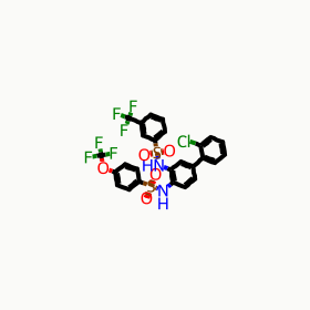 O=S(=O)(Nc1ccc(-c2ccccc2Cl)cc1NS(=O)(=O)c1cccc(C(F)(F)F)c1)c1ccc(OC(F)(F)F)cc1